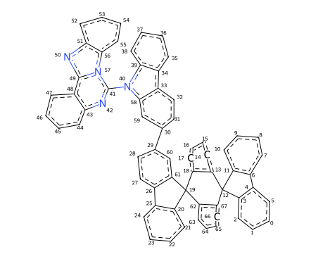 c1ccc2c(c1)-c1ccccc1C21c2ccccc2C2(c3ccccc3-c3ccc(-c4ccc5c6ccccc6n(-c6nc7ccccc7c7nc8ccccc8n67)c5c4)cc32)c2ccccc21